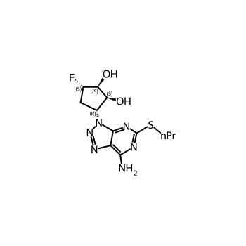 CCCSc1nc(N)c2nnn([C@@H]3C[C@H](F)[C@@H](O)[C@H]3O)c2n1